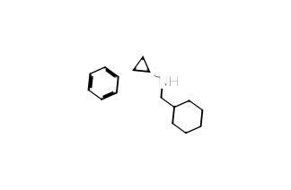 c1ccc([C@@H]2C[C@H]2NCC2CCCCC2)cc1